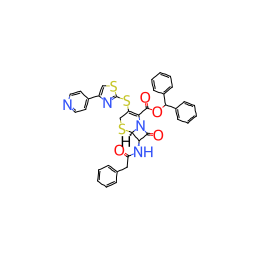 O=C(Cc1ccccc1)N[C@@H]1C(=O)N2C(C(=O)OC(c3ccccc3)c3ccccc3)=C(Sc3nc(-c4ccncc4)cs3)CS[C@@H]12